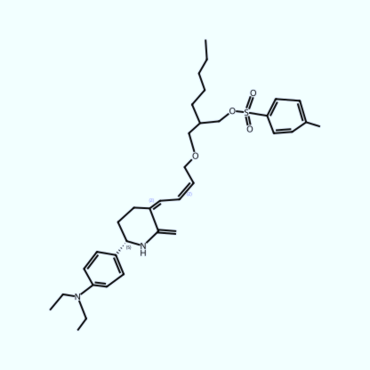 C=C1N[C@H](c2ccc(N(CC)CC)cc2)CC/C1=C/C=C\COCC(CCCCC)COS(=O)(=O)c1ccc(C)cc1